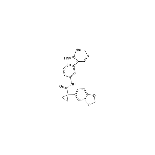 C/N=C\c1c(C(C)(C)C)[nH]c2ccc(NC(=O)C3(c4ccc5c(c4)OCO5)CC3)cc12